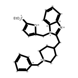 CCOC(=O)c1ccc(Cn2c(CC3CCN(Cc4ccccc4)CC3)nc3ccccc32)o1